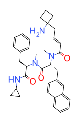 CN(C(=O)/C=C/CC1(N)CCC1)[C@H](Cc1ccc2ccccc2c1)C(=O)N(C)[C@H](Cc1ccccc1)C(=O)NC1CC1